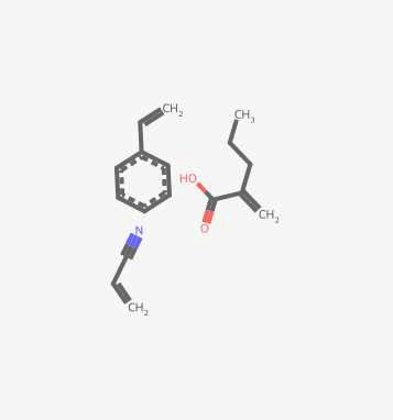 C=C(CCC)C(=O)O.C=CC#N.C=Cc1ccccc1